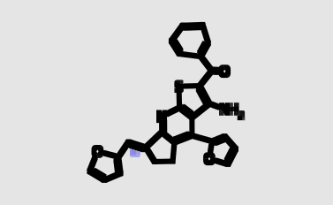 Nc1c(C(=O)c2ccccc2)sc2nc3c(c(-c4ccco4)c12)CC/C3=C\c1ccco1